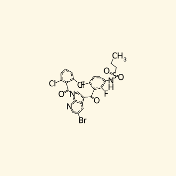 CCCS(=O)(=O)Nc1ccc(F)c(C(=O)c2cn(C(=O)c3c(Cl)cccc3Cl)c3ncc(Br)cc23)c1F